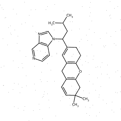 CC(C)CC(C1=CC2=C(CC1)OC1=C(C=CC(C)(C)C1)C2)n1cnc2cnccc21